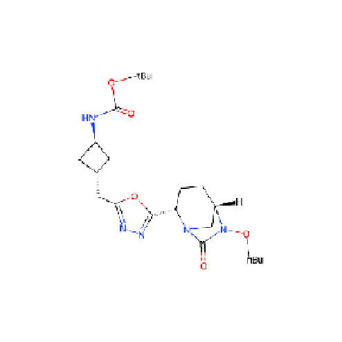 CCCCON1C(=O)N2C[C@@H]1CC[C@H]2c1nnc(C[C@H]2C[C@H](NC(=O)OC(C)(C)C)C2)o1